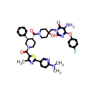 Cc1nc(-c2ccc(N(C)C)nc2)sc1C(=O)N1CC[C@@H](C(=O)N2CCC(O)(Cn3cnc(Oc4ccc(F)cc4)c(N)c3=O)CC2)[C@H](c2ccccc2)C1